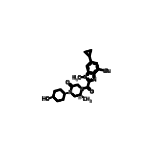 C[C@@H]1CN([C@H]2CC[C@H](O)CC2)C(=O)CN1C(=O)c1nc2c(C(C)(C)C)cc(C3CC3)cc2n1C